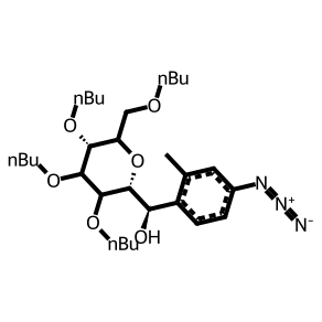 CCCCOCC1O[C@H]([C@H](O)c2ccc(N=[N+]=[N-])cc2C)C(OCCCC)C(OCCCC)[C@@H]1OCCCC